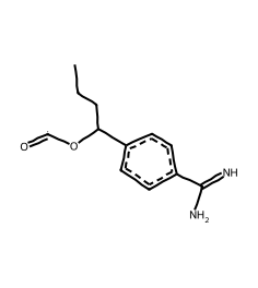 CCCC(O[C]=O)c1ccc(C(=N)N)cc1